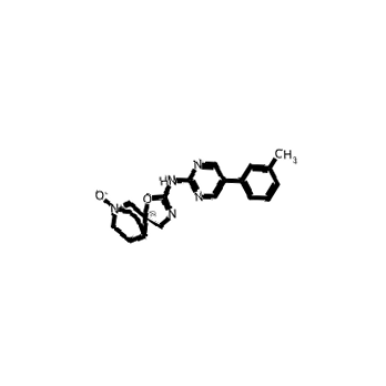 Cc1cccc(-c2cnc(NC3=NC[C@@]4(C[N+]5([O-])CCC4CC5)O3)nc2)c1